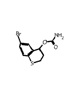 NC(=O)OC1CCSc2ccc(Br)cc21